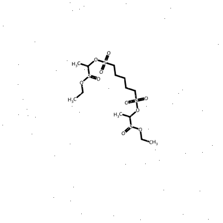 CCOS(=O)C(C)OS(=O)(=O)CCCCCS(=O)(=O)OC(C)S(=O)OCC